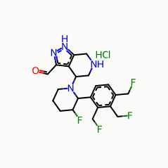 Cl.O=Cc1n[nH]c2c1C(N1CCCC(F)C1c1ccc(CF)c(CF)c1CF)CNC2